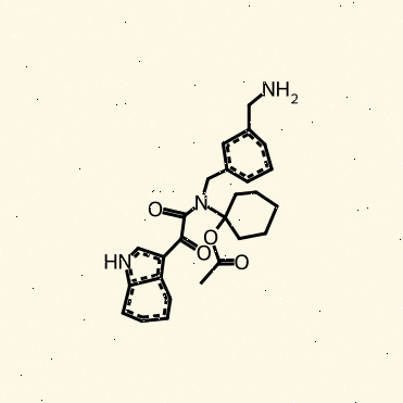 CC(=O)OC1(N(Cc2cccc(CN)c2)C(=O)C(=O)c2c[nH]c3ccccc23)CCCCC1